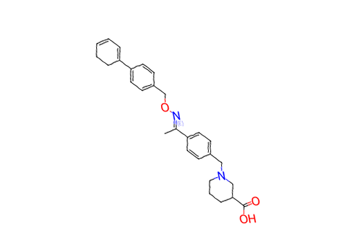 C/C(=N\OCc1ccc(C2=CC=CCC2)cc1)c1ccc(CN2CCCC(C(=O)O)C2)cc1